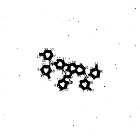 Cc1cccc(N(c2cccc(C)c2)c2ccc3cc4c5ccc(N(c6cccc(C)c6)c6cccc(C)c6)cc5n5c6c7ccccc7sc6c(c3c2)c45)c1